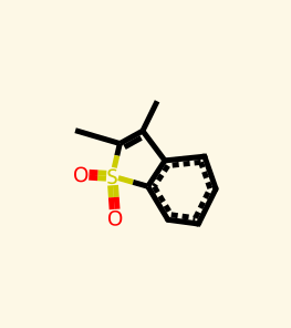 CC1=C(C)S(=O)(=O)c2ccccc21